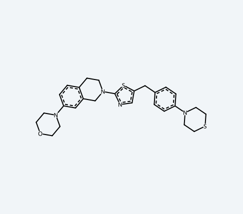 c1cc(N2CCSCC2)ccc1Cc1cnc(N2CCc3ccc(N4CCOCC4)cc3C2)s1